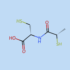 C[C@H](S)C(=O)N[C@@H](CS)C(=O)O